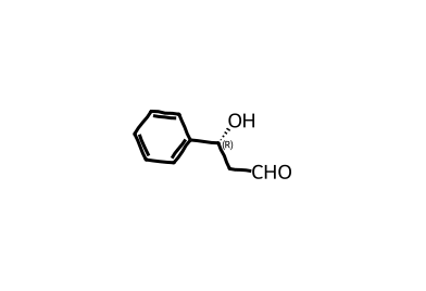 O=CC[C@@H](O)c1ccccc1